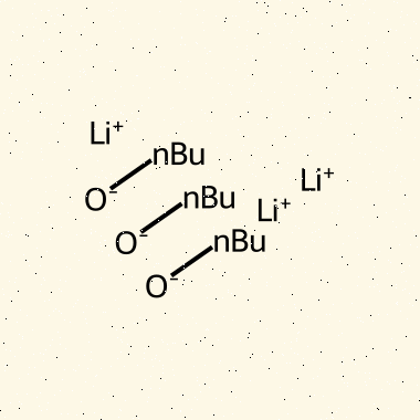 CCCC[O-].CCCC[O-].CCCC[O-].[Li+].[Li+].[Li+]